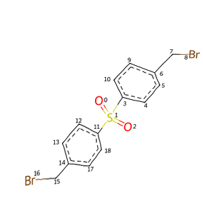 O=S(=O)(c1ccc(CBr)cc1)c1ccc(CBr)cc1